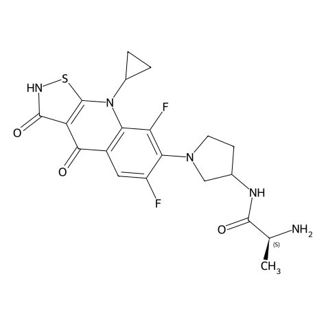 C[C@H](N)C(=O)NC1CCN(c2c(F)cc3c(=O)c4c(=O)[nH]sc4n(C4CC4)c3c2F)C1